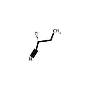 CC[C@@H](Cl)C#N